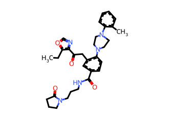 CCc1ocnc1C(=O)Cc1cc(C(=O)NCCCN2CCCC2=O)ccc1N1CCN(c2ccccc2C)CC1